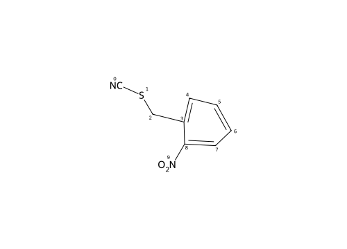 N#CSCc1ccccc1[N+](=O)[O-]